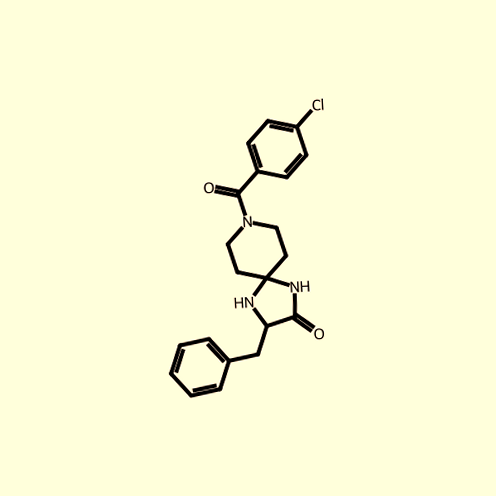 O=C1NC2(CCN(C(=O)c3ccc(Cl)cc3)CC2)NC1Cc1ccccc1